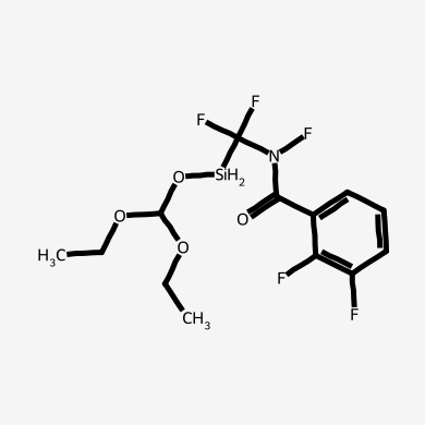 CCOC(OCC)O[SiH2]C(F)(F)N(F)C(=O)c1cccc(F)c1F